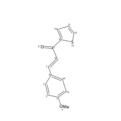 COc1ccc(/C=C/C(=O)c2cccs2)cc1